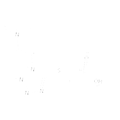 CN(C)CCn1nnnc1SCC(=O)O